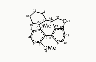 COc1cccc(OC)c1-c1cccc2c1P(C1CCCCC1)CO2